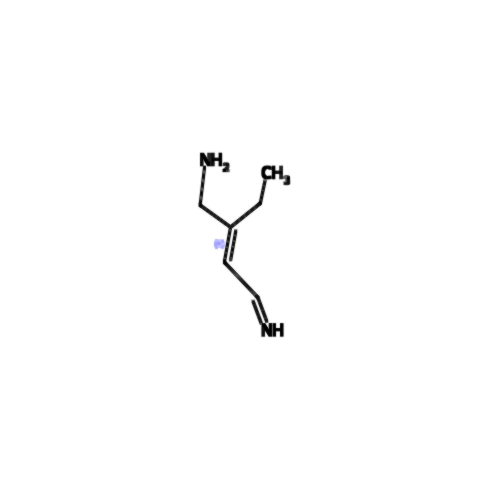 CC/C(=C\C=N)CN